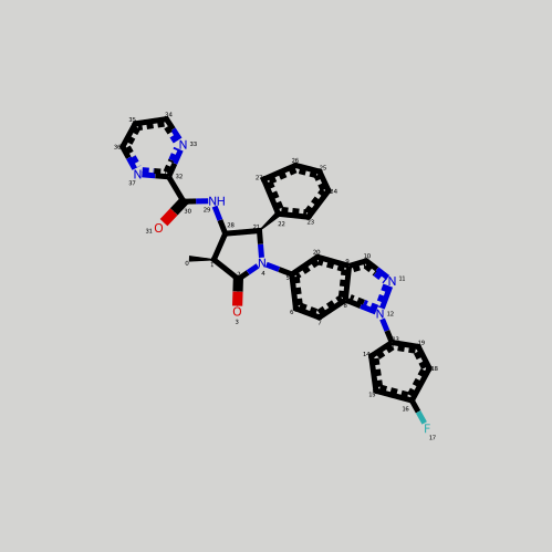 C[C@@H]1C(=O)N(c2ccc3c(cnn3-c3ccc(F)cc3)c2)[C@H](c2ccccc2)C1NC(=O)c1ncccn1